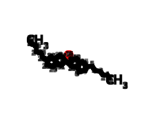 CCCCCCc1ccc2cc3c(cc2c1)oc1cc2cc(CCCCCC)ccc2cc13